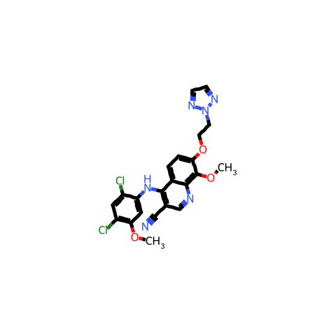 COc1cc(Nc2c(C#N)cnc3c(OC)c(OCCn4nccn4)ccc23)c(Cl)cc1Cl